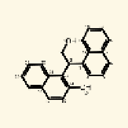 OCC(c1cccc2ccccc12)c1c(O)ccc2ccccc12